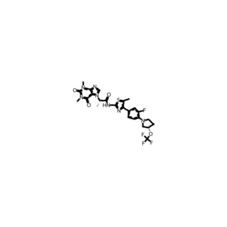 Cc1sc(NC(=O)[C@H](C)n2cnc3c2c(=O)n(C)c(=O)n3C)nc1-c1ccc(N2CC[C@H](OC(F)(F)F)C2)c(F)c1